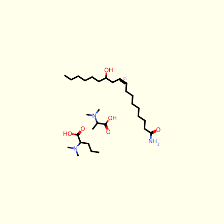 CC(C(=O)O)N(C)C.CCCC(C(=O)O)N(C)C.CCCCCCC(O)C/C=C\CCCCCCCC(N)=O